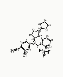 N#Cc1ccc(N(Cc2ccccc2C(F)(F)F)[C@H]2CCN(C3CCCC3)C2)cc1Cl